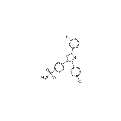 NS(=O)(=O)c1ccc(-n2cc(-c3cccc(F)c3)nc2-c2ccc(Cl)cc2)cc1